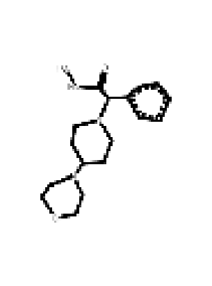 O=C(NO)C(c1ccccc1)N1CCC(N2CCOCC2)CC1